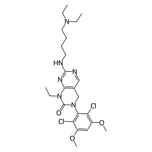 CCN(CC)CCCCNc1ncc2c(n1)N(CC)C(=O)N(c1c(Cl)c(OC)cc(OC)c1Cl)C2